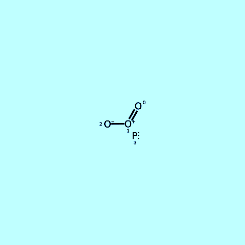 O=[O+][O-].[P]